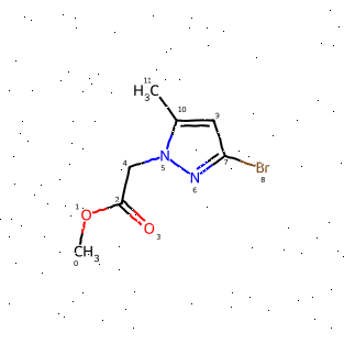 COC(=O)Cn1nc(Br)cc1C